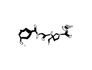 CC(C)(C)OC(=O)N1CCC(CF)(NC(=O)CNC(=O)c2cccc(C(F)(F)F)c2)C1